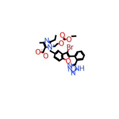 CCOC(=O)OCC[N+]1(Cc2ccc3oc(-c4ccccc4-c4nnn[nH]4)c(Br)c3c2)C(CC)=NC(C)=C1C(=O)[O-]